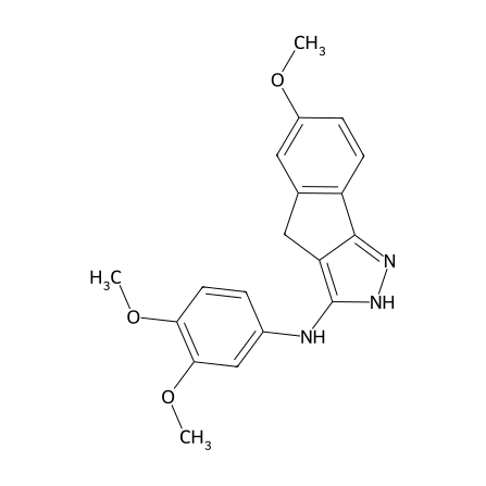 COc1ccc2c(c1)Cc1c-2n[nH]c1Nc1ccc(OC)c(OC)c1